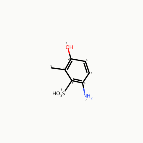 Cc1c(O)ccc(N)c1S(=O)(=O)O